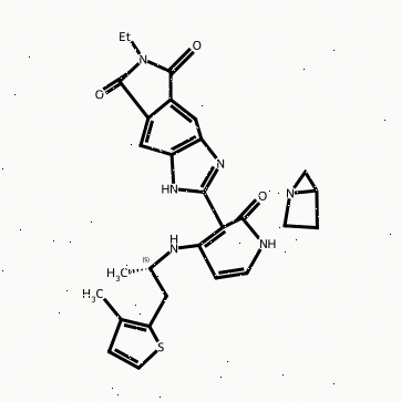 C1CN2CC12.CCN1C(=O)c2cc3nc(-c4c(N[C@@H](C)Cc5sccc5C)cc[nH]c4=O)[nH]c3cc2C1=O